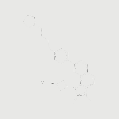 CO[C@H]1C[C@H](n2c(=O)n(C)c3cnc4ccc(-c5ccc(OCCCN6CCCC6)cc5)cc4c32)C1